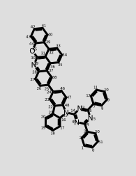 c1ccc(-c2nc(-c3ccccc3)nc(-n3c4ccccc4c4cc(-c5ccc6nc7c8c(cccc8c6c5)-c5ccccc5O7)ccc43)n2)cc1